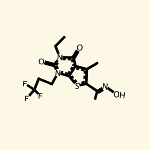 CCn1c(=O)c2c(C)c(C(C)=NO)sc2n(CCC(F)(F)F)c1=O